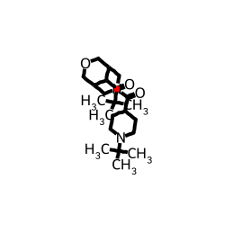 CC(C)(C)C(=O)C1C2COCC1CN(C(=O)C1CCN(C(C)(C)C)CC1)C2